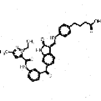 CCn1nc(C)cc1C(=O)Nc1cccc(C(=O)c2ccc3c(c2)NC(=O)C3=CNc2ccc(CCCC(=O)O)cc2)c1